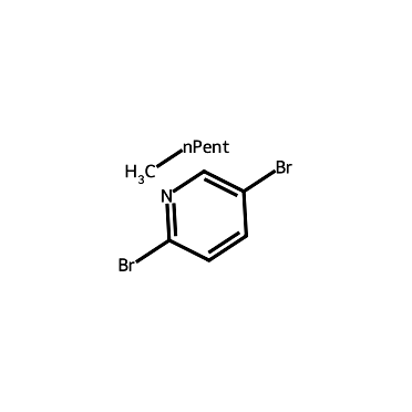 Brc1ccc(Br)nc1.CCCCCC